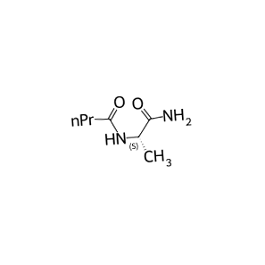 CCCC(=O)N[C@@H](C)C(N)=O